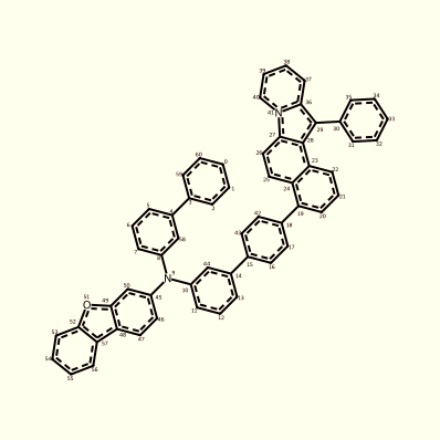 c1ccc(-c2cccc(N(c3cccc(-c4ccc(-c5cccc6c5ccc5c6c(-c6ccccc6)c6ccccn65)cc4)c3)c3ccc4c(c3)oc3ccccc34)c2)cc1